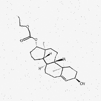 CCOC(=O)O[C@H]1CC[C@H]2[C@@H]3CCC4=C[C@H](O)CC[C@]4(C)[C@H]3CC[C@]12C